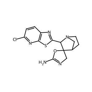 NC1=NCC2(O1)C1CCN(C1)C2c1nc2ccc(Cl)nc2s1